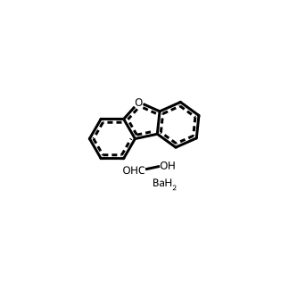 O=CO.[BaH2].c1ccc2c(c1)oc1ccccc12